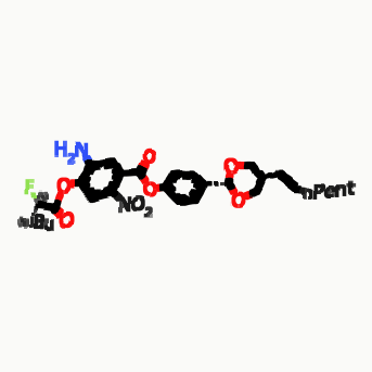 CCCCCC=C[C@H]1CO[C@H](c2ccc(OC(=O)c3cc(N)c(OC(=O)[C@@H](F)[C@@H](C)CC)cc3[N+](=O)[O-])cc2)OC1